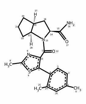 Cc1ccc(-c2sc(C)nc2C(=O)N2[C@H](C(N)=O)C[C@@H]3CCC[C@@H]32)c(C)c1